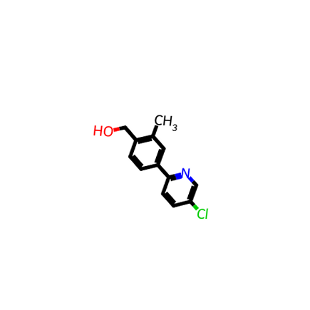 Cc1cc(-c2ccc(Cl)cn2)ccc1CO